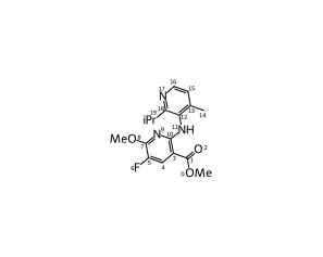 COC(=O)c1cc(F)c(OC)nc1Nc1c(C)ccnc1C(C)C